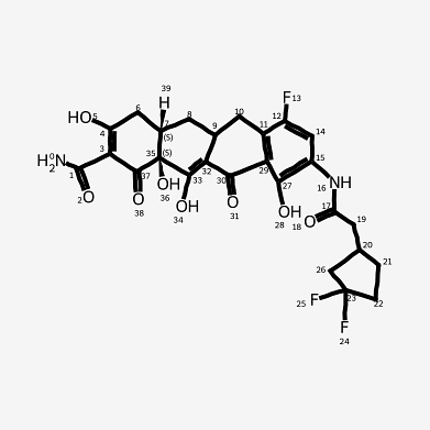 NC(=O)C1=C(O)C[C@@H]2CC3Cc4c(F)cc(NC(=O)CC5CCC(F)(F)C5)c(O)c4C(=O)C3=C(O)[C@]2(O)C1=O